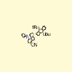 CC(C)(C)c1c2ccccc2c(C(C)(C)C)c2cc(-c3ccc4c5c3ccc3c(C#N)ccc(c35)n4-c3ccccc3)ccc12